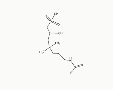 C[N+](C)(CCCNC(=O)F)CC(O)CS(=O)(=O)O